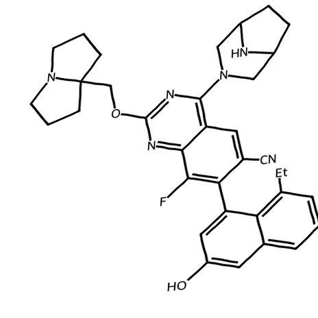 CCc1cccc2cc(O)cc(-c3c(C#N)cc4c(N5CC6CCC(C5)N6)nc(OCC56CCCN5CCC6)nc4c3F)c12